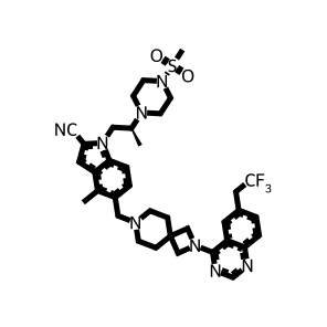 Cc1c(CN2CCC3(CC2)CN(c2ncnc4ccc(CC(F)(F)F)cc24)C3)ccc2c1cc(C#N)n2C[C@H](C)N1CCN(S(C)(=O)=O)CC1